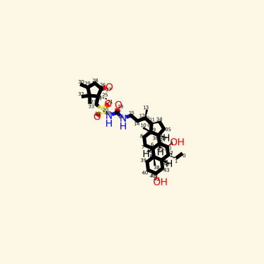 CC[C@H]1[C@@H](O)[C@@H]2[C@H](CC[C@]3(C)[C@@H]([C@H](C)CCNC(=O)NS(=O)(=O)C[C@]4(C)C(=O)CC(C)C4(C)C)CC[C@@H]23)[C@@]2(C)CC[C@@H](O)C[C@@H]12